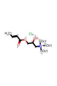 CC=CC(=O)OCC(O)C[N+](CCCCCCCC)(CCCCCCCC)CCCCCCCC.[Cl-]